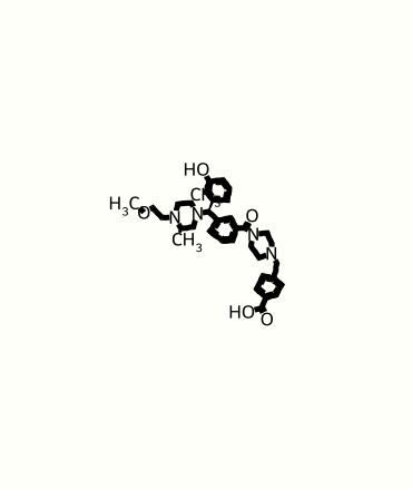 COCCN1C[C@H](C)N([C@@H](c2cccc(O)c2)c2cccc(C(=O)N3CCN(Cc4ccc(C(=O)O)cc4)CC3)c2)C[C@H]1C